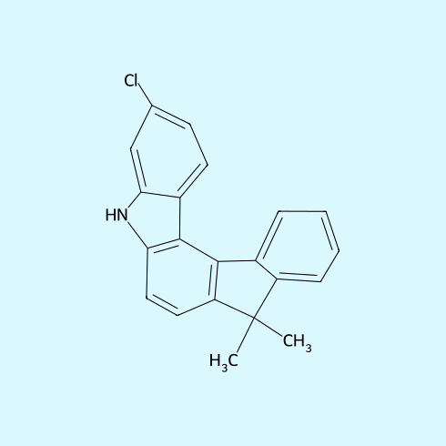 CC1(C)c2ccccc2-c2c1ccc1[nH]c3cc(Cl)ccc3c21